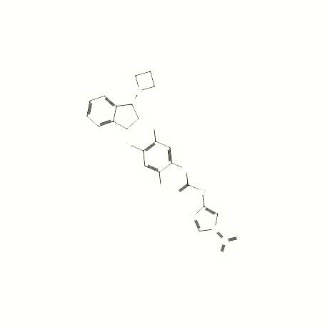 O=C(NC1=CS(=S(=O)=O)C=N1)Oc1cc(Cl)c(N[C@H]2C[C@H](N3CCC3)c3ccccc32)cc1F